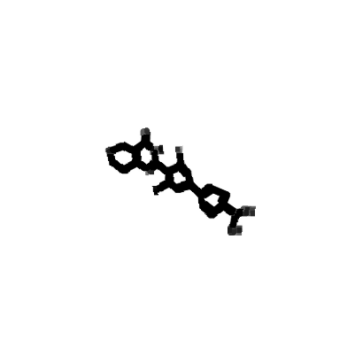 O=c1[nH]c(-c2c(F)cc(-c3ccc(B(O)O)cc3)cc2F)nc2c1CSCC2